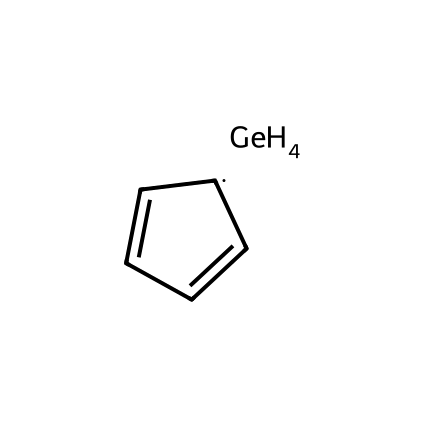 [CH]1C=CC=C1.[GeH4]